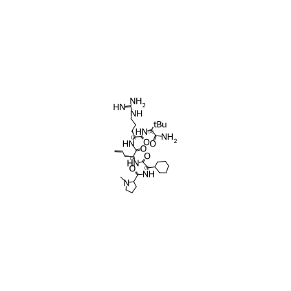 C=CC[C@H](NC(=O)[C@@H](NC(=O)C1CCCN1C)C1CCCCC1)C(=O)N[C@@H](CCCNC(=N)N)C(=O)N[C@H](C(N)=O)C(C)(C)C